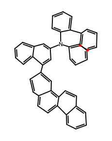 c1ccc(-c2ccccc2N(c2ccccc2)c2cc(-c3ccc4ccc5c6ccccc6ccc5c4c3)c3ccccc3c2)cc1